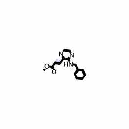 COC(=O)/C=C/c1nccnc1NCc1ccccc1